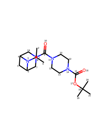 CC(C)N1C2CC1CN(C(=O)N1CCN(C(=O)OC(C)(C)C)CC1)C2